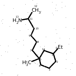 CCC1CCCC(C)(CCCCC(C)N)C1